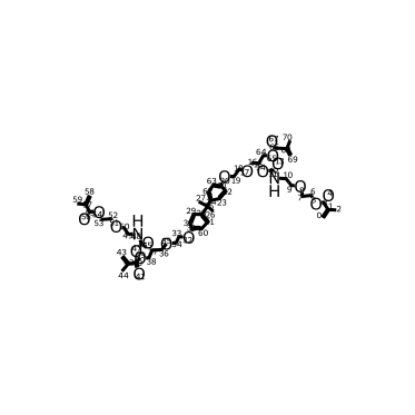 C=C(C)C(=O)OCCOCCNC(=O)OC(COCCOc1ccc(C(C)(C)c2ccc(OCCOCC(COC(=O)C(=C)C)OC(=O)NCCOCCOC(=O)C(=C)C)cc2)cc1)COC(=O)C(=C)C